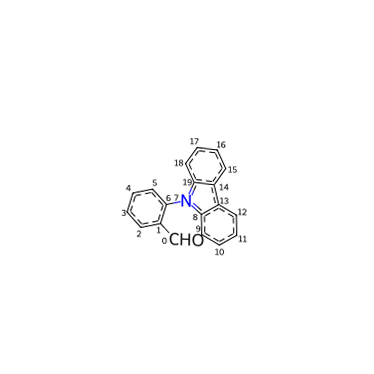 O=Cc1ccccc1-n1c2ccccc2c2ccccc21